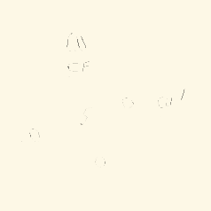 O=S(=O)([O-])C(F)(F)F.[Cu+].[Cu+].[I-]